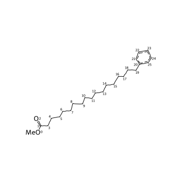 COC(=O)CCCCCCCCCCCCCCCCCc1ccccc1